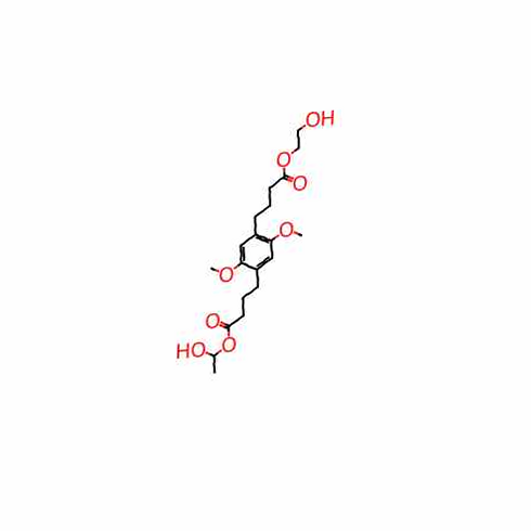 COc1cc(CCCC(=O)OC(C)O)c(OC)cc1CCCC(=O)OCCO